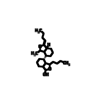 CCC/C=C1\OC(C)C2C([C@H]3CCCC4C(O)OC(CCCC)C43)CCC[C@@H]12